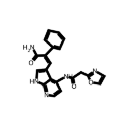 NC(=O)C(=Cc1c[nH]c2nccc(NC(=O)Cc3ncco3)c12)c1ccccc1